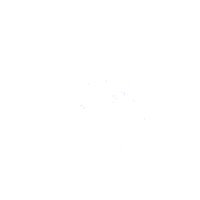 Cc1ccc2c(=O)n(Cc3ccc(Cl)cc3)nc(-c3ccc(C)nc3F)c2c1